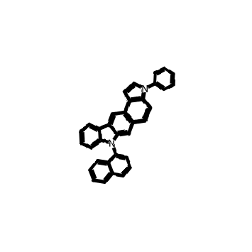 c1ccc(-n2ccc3c4cc5c6ccccc6n(-c6cccc7ccccc67)c5cc4ccc32)cc1